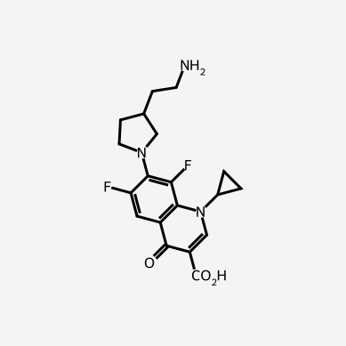 NCCC1CCN(c2c(F)cc3c(=O)c(C(=O)O)cn(C4CC4)c3c2F)C1